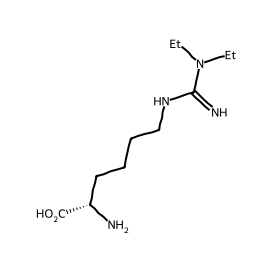 CCN(CC)C(=N)NCCCC[C@H](N)C(=O)O